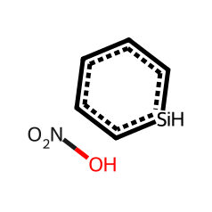 O=[N+]([O-])O.c1cc[siH]cc1